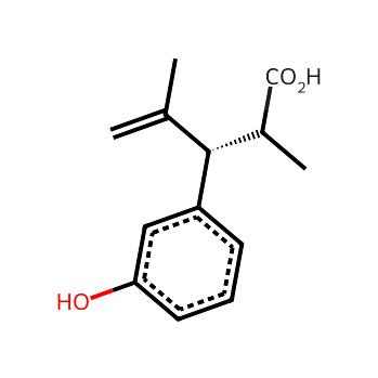 C=C(C)[C@@H](c1cccc(O)c1)C(C)C(=O)O